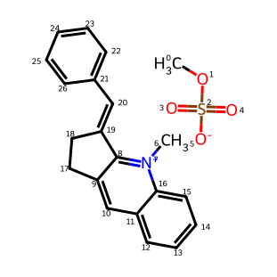 COS(=O)(=O)[O-].C[n+]1c2c(cc3ccccc31)CCC2=Cc1ccccc1